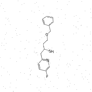 Fc1ccc(CC(S)CCOCc2ccccc2)nc1